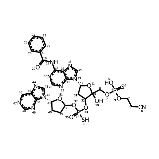 N#CCCOP(O)(=S)OCC1(O)O[C@@H](n2cnc3c(NC(=O)c4ccccc4)ncnc32)C[C@@H]1OP(=O)(S)OC1CC[C@H](n2cnc3cncnc32)O1